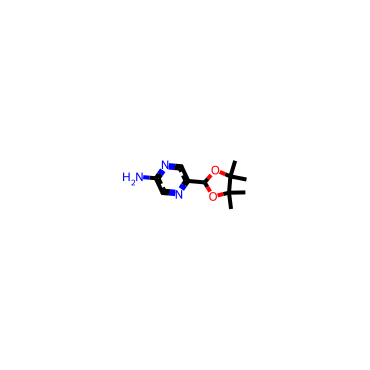 CC1(C)OC(c2cnc(N)cn2)OC1(C)C